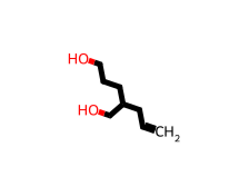 C=CCC(CO)CCCO